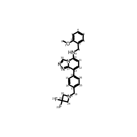 COc1ccccc1CNc1ccc(-c2ccc(CN3CC(F)(F)C3)cc2)c2nncn12